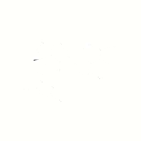 Cc1cc(C#N)nn1[C@@H]1CC[C@]2(CNc3ncc(-c4ccc(N)c(C(=O)N(C)C)c4F)c(Cl)c32)C1